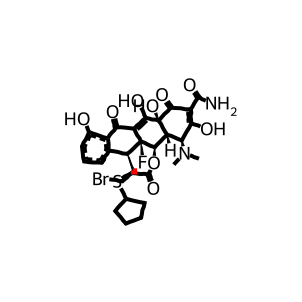 CN(C)[C@@H]1C(O)=C(C(N)=O)C(=O)[C@@]2(O)C(O)=C3C(=O)c4c(O)cccc4[C@H](CSC4CCCC4)[C@@]3(F)[C@H](OC(=O)CCBr)[C@@H]12